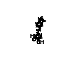 O=c1[nH]c(SCc2ccc3nccn3c2)ncc1O